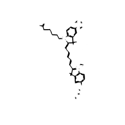 CC[N+]1=C(/C=C/C=C/C=C2/N(CCCCCC(=O)O)c3ccc(S(=O)(=O)O)cc3C2(C)C)C(C)(C)c2cc(SOOO)ccc21